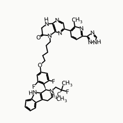 Cc1nc(-c2nc[nH]n2)ccc1-c1cnc2c(n1)N(CCCCCOc1cc(F)c([C@@H]3c4[nH]c5ccccc5c4C[C@@H](C)N3CC(C)(C)F)c(F)c1)C(=O)CN2